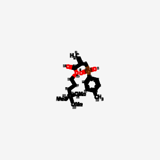 C=C(CS(=O)(=O)c1ccc(C)cc1)C(=O)OCCC[Si](OC)(OC)OC